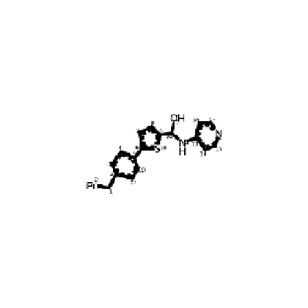 CC(C)Cc1ccc(-c2ccc(C(O)Nc3ccncc3)s2)cc1